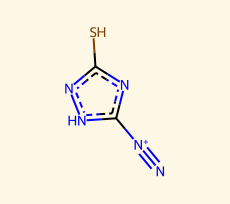 N#[N+]c1nc(S)n[nH]1